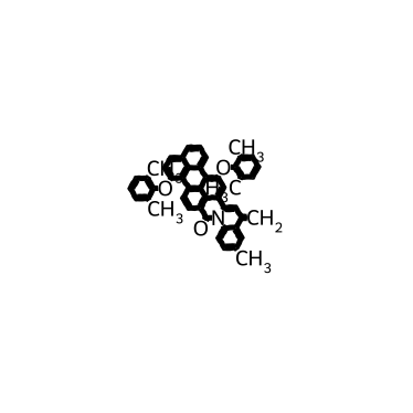 C=c1cc2c3cc(Oc4c(C)cccc4C)c4c5cccc6ccc(Oc7c(C)cccc7C)c(c7ccc(c(=O)n2c2ccc(C)cc12)c3c74)c65